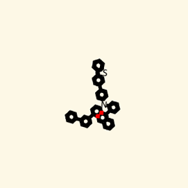 c1ccc(-c2cccc(-c3ccc(N(c4ccc(-c5ccc6c(c5)sc5ccccc56)cc4)c4ccccc4-c4cccc5ccccc45)cc3)c2)cc1